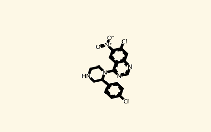 O=[N+]([O-])c1cc2c(N3CCNCC3c3ccc(Cl)cc3)ncnc2cc1Cl